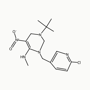 CNC1=C([N+](=O)[O-])CN(C(C)(C)C)CN1Cc1ccc(Cl)nc1